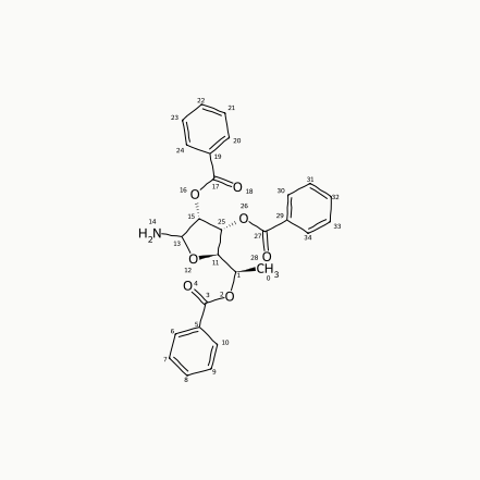 C[C@@H](OC(=O)c1ccccc1)[C@H]1OC(N)[C@H](OC(=O)c2ccccc2)[C@@H]1OC(=O)c1ccccc1